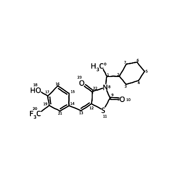 CC(C1CCCCC1)N1C(=O)SC(=Cc2ccc(O)c(C(F)(F)F)c2)C1=O